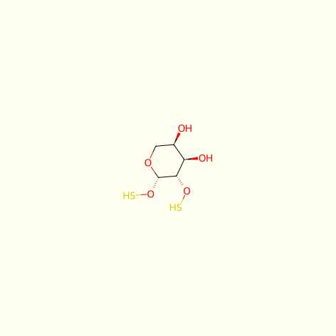 O[C@H]1[C@H](OS)[C@H](OS)OC[C@H]1O